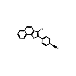 N#Cc1ccc(-c2oc3c(ccc4ccccc43)c2Br)cc1